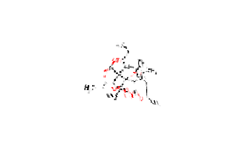 CCCC(C(C)C)C(C(=O)O)C(O)(C(=O)O)C(C(=O)O)(C(CCC)C(C)C)C(CCC)C(C)C